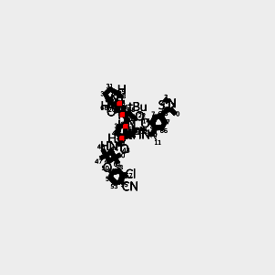 Cc1ncsc1-c1ccc([C@H](C)NC(=O)[C@@H]2C[C@@H](O)CN2C(=O)[C@@H](NC(=O)CN2[C@H]3CC[C@H]2CN(CCCc2ccc(C(=O)N[C@H]4C(C)(C)[C@H](Oc5ccc(C#N)c(Cl)c5)C4(C)C)cn2)C3)C(C)(C)C)cc1